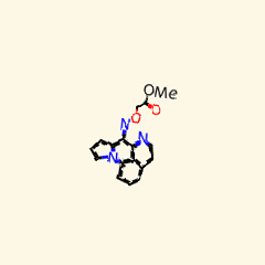 COC(=O)CON=c1c2nccc3cccc(c32)n2cccc12